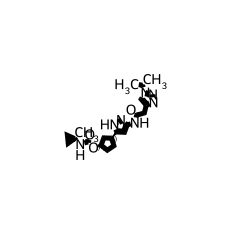 CC(C)n1cc(CC(=O)Nc2cc([C@H]3CC[C@@H](OC(=O)NC4(C)CC4)C3)[nH]n2)nn1